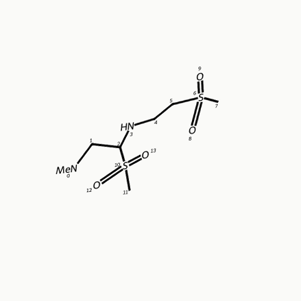 CNCC(NCCS(C)(=O)=O)S(C)(=O)=O